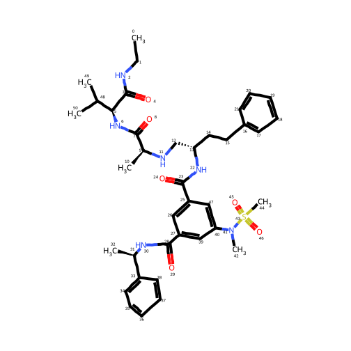 CCNC(=O)[C@@H](NC(=O)[C@H](C)NC[C@H](CCc1ccccc1)NC(=O)c1cc(C(=O)N[C@H](C)c2ccccc2)cc(N(C)S(C)(=O)=O)c1)C(C)C